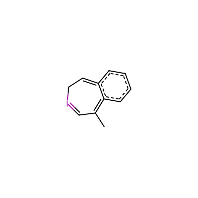 CC1=c2ccccc2=CCI=C1